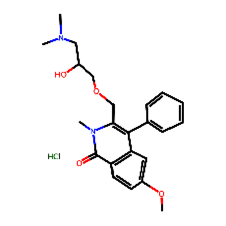 COc1ccc2c(=O)n(C)c(COCC(O)CN(C)C)c(-c3ccccc3)c2c1.Cl